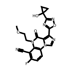 COCCn1c(=O)c2c(-c3nc(C4(O)CC4)no3)ncn2c2ccc(F)c(C#N)c21